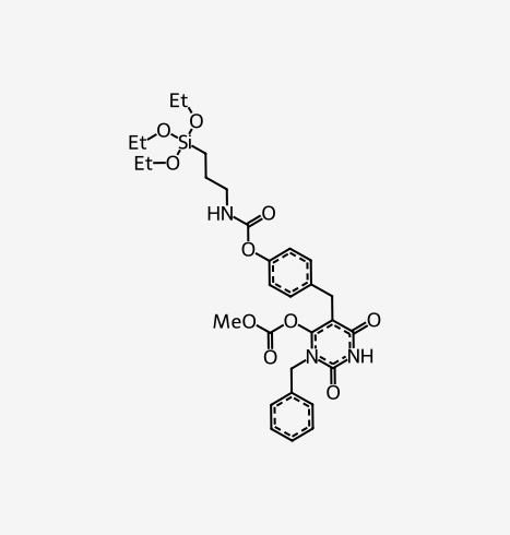 CCO[Si](CCCNC(=O)Oc1ccc(Cc2c(OC(=O)OC)n(Cc3ccccc3)c(=O)[nH]c2=O)cc1)(OCC)OCC